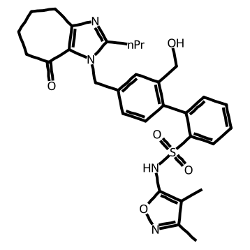 CCCc1nc2c(n1Cc1ccc(-c3ccccc3S(=O)(=O)Nc3onc(C)c3C)c(CO)c1)C(=O)CCCC2